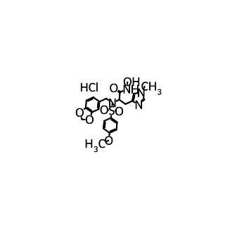 COc1ccc(S(=O)(=O)N(Cc2ccc3c(c2)OCO3)C(Cc2cn(C)cn2)C(=O)NO)cc1.Cl